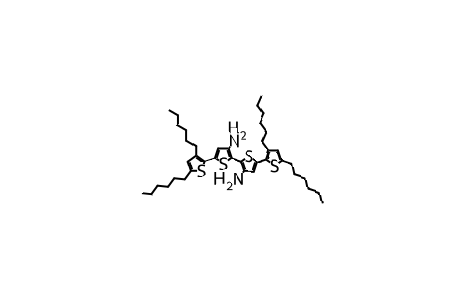 CCCCCCc1cc(CCCCCC)c(-c2cc(N)c(-c3sc(-c4sc(CCCCCC)cc4CCCCCC)cc3N)s2)s1